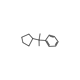 CC(C)([C]1CCCC1)c1ccccc1